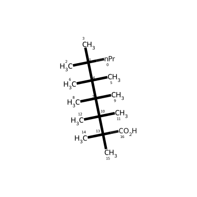 CCCC(C)(C)C(C)(C)C(C)(C)C(C)(C)C(C)(C)C(=O)O